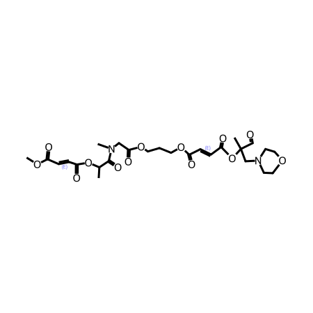 COC(=O)/C=C/C(=O)OC(C)C(=O)N(C)CC(=O)OCCCOC(=O)/C=C/C(=O)OC(C)(C=O)CN1CCOCC1